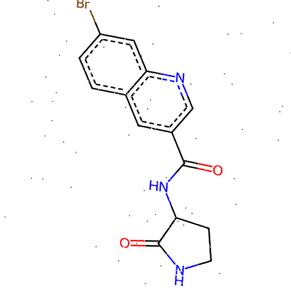 O=C(NC1CCNC1=O)c1cnc2cc(Br)ccc2c1